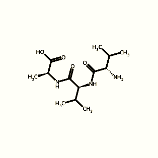 CC(C)[C@H](N)C(=O)N[C@H](C(=O)N[C@@H](C)C(=O)O)C(C)C